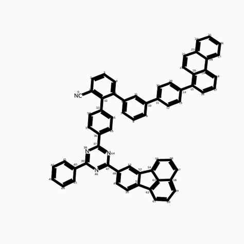 N#Cc1cccc(-c2cccc(-c3ccc(-c4cccc5c4ccc4ccccc45)cc3)c2)c1-c1ccc(-c2nc(-c3ccccc3)nc(-c3ccc4c(c3)-c3cccc5cccc-4c35)n2)cc1